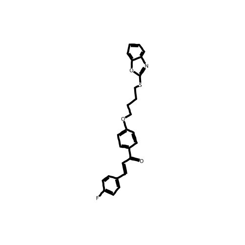 O=C(C=Cc1ccc(F)cc1)c1ccc(OCCCCSc2nc3ccccc3o2)cc1